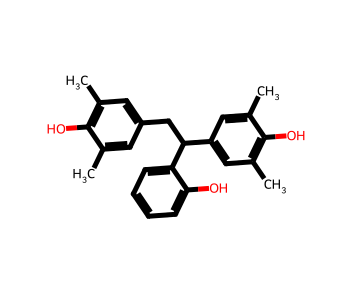 Cc1cc(CC(c2cc(C)c(O)c(C)c2)c2ccccc2O)cc(C)c1O